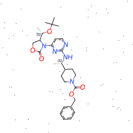 C[C@H](Nc1nccc(N2C(=O)OCC2[C@H](C)OC(C)(C)C)n1)C1CCN(C(=O)OCc2ccccc2)CC1